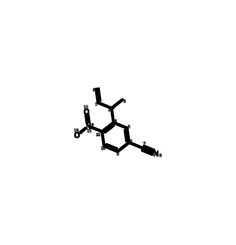 C=C[C](C)c1cc(C#N)ccc1[N+](=O)[O-]